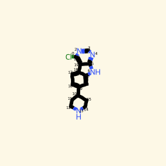 Clc1ncnc2[nH]c3cc(C4CCNCC4)ccc3c12